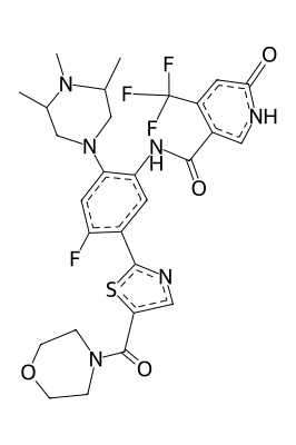 CC1CN(c2cc(F)c(-c3ncc(C(=O)N4CCOCC4)s3)cc2NC(=O)c2c[nH]c(=O)cc2C(F)(F)F)CC(C)N1C